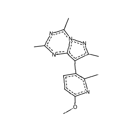 COc1ccc(-c2c(C)nn3c(C)nc(C)nc23)c(C)n1